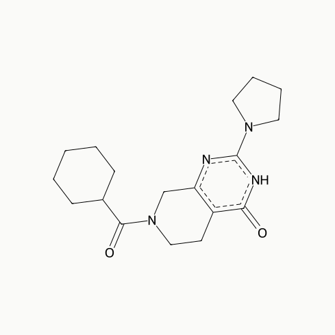 O=C(C1CCCCC1)N1CCc2c(nc(N3CCCC3)[nH]c2=O)C1